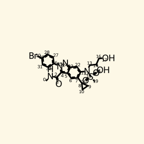 CNC(=O)c1c2cc(C3CC3)c(N(C[C@H](O)CO)S(C)(=O)=O)cc2nn1-c1ccc(Br)cc1